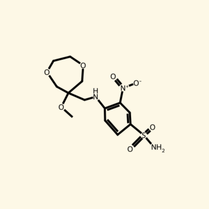 COC1(CNc2ccc(S(N)(=O)=O)cc2[N+](=O)[O-])COCCOC1